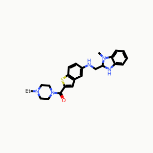 CCN1CCN(C(=O)c2cc3cc(NCC4Nc5ccccc5N4C)ccc3s2)CC1